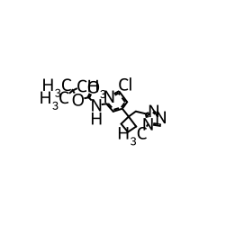 Cn1cnnc1CC1(c2cc(Cl)nc(NC(=O)OC(C)(C)C)c2)CCC1